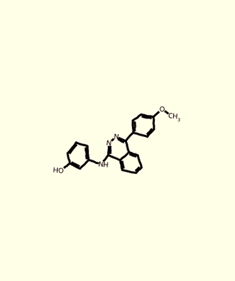 COc1ccc(-c2nnc(Nc3cccc(O)c3)c3ccccc23)cc1